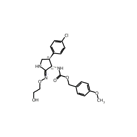 COc1ccc(COC(=O)N[C@@H]2/C(=N/OCCO)NC[C@H]2c2ccc(Cl)cc2)cc1